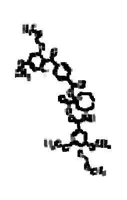 COCOc1cc(OC)cc(F)c1C(=O)c1ccc(C(=O)O[N+]2(C(=O)[O-])CCCCC(NC(=O)c3cc(OC)c(OCOC)c(OC)c3)C2)cc1